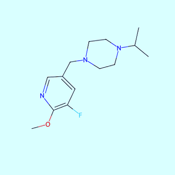 COc1ncc(CN2CCN(C(C)C)CC2)cc1F